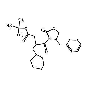 CC(C)(C)OC(=O)CC(CC1CCCCC1)C(=O)N1C(=O)OCC1Cc1ccccc1